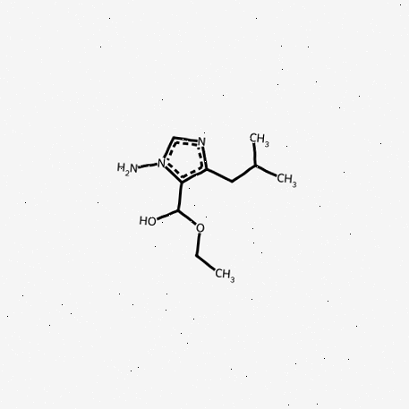 CCOC(O)c1c(CC(C)C)ncn1N